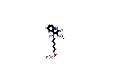 CCCCCCCCOCCCCCCNc1c([N+](=O)[O-])c(Cl)nc2ccccc12